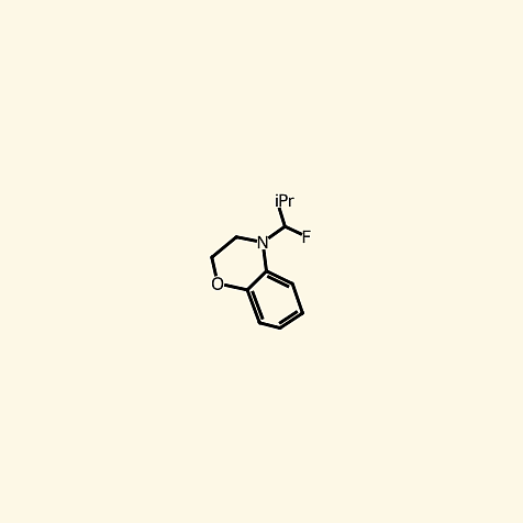 CC(C)C(F)N1CCOc2ccccc21